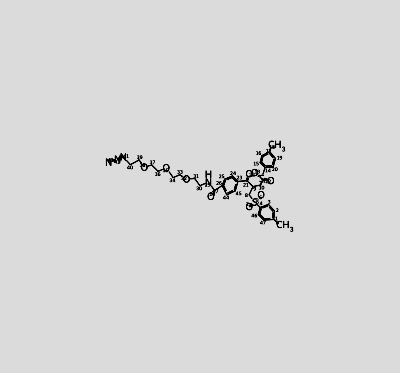 Cc1ccc(S(=O)(=O)CC(CS(=O)(=O)c2ccc(C)cc2)C(=O)c2ccc(C(=O)NCCOCCOCCOCCN=[N+]=[N-])cc2)cc1